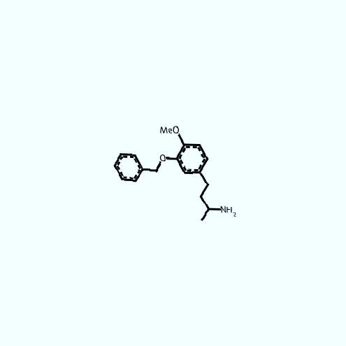 COc1ccc(CCC(C)N)cc1OCc1ccccc1